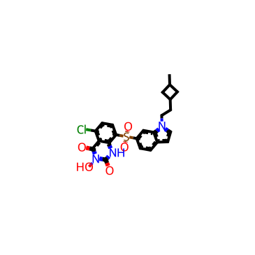 CC1CC(CCn2ccc3ccc(S(=O)(=O)c4ccc(Cl)c5c(=O)n(O)c(=O)[nH]c45)cc32)C1